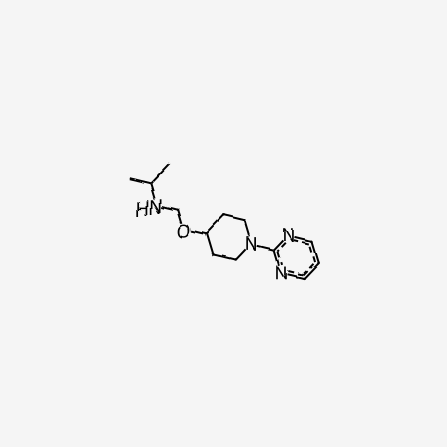 CC(C)NCOC1CCN(c2ncccn2)CC1